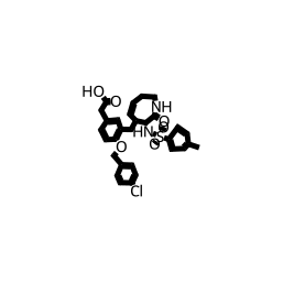 Cc1ccc(S(=O)(=O)N[C@H]2C(=O)NCC/C=C\C2Cc2cc(CC(=O)O)ccc2OCc2ccc(Cl)cc2)cc1